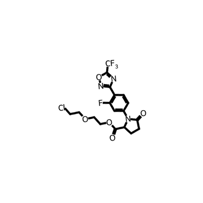 O=C(OCCOCCCl)C1CCC(=O)N1c1ccc(-c2noc(C(F)(F)F)n2)c(F)c1